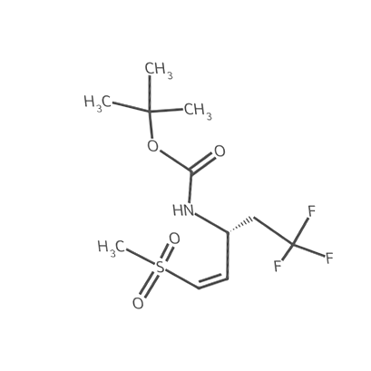 CC(C)(C)OC(=O)N[C@@H](/C=C\S(C)(=O)=O)CC(F)(F)F